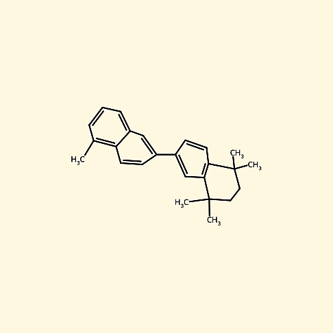 Cc1cccc2cc(-c3ccc4c(c3)C(C)(C)CCC4(C)C)ccc12